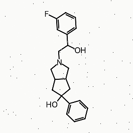 OC(CN1CC2CC(O)(c3ccccc3)CC2C1)c1cccc(F)c1